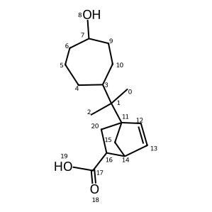 CC(C)(C1CCCC(O)CC1)C12C=CC(C1)C(C(=O)O)C2